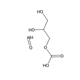 O=C(O)OCC(O)CO.[O]=[AlH]